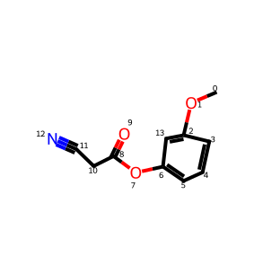 COc1cccc(OC(=O)CC#N)c1